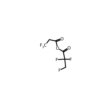 O=C(CC(F)(F)F)OC(=O)C(F)(F)CF